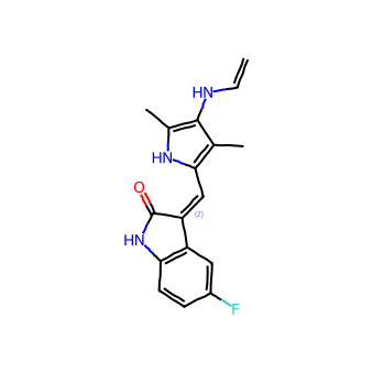 C=CNc1c(C)[nH]c(/C=C2\C(=O)Nc3ccc(F)cc32)c1C